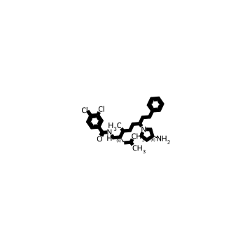 CC(C)C[C@H](CNC(=O)c1ccc(Cl)c(Cl)c1)C(C)CCC(CCc1ccccc1)N1CC[C@@H](N)C1